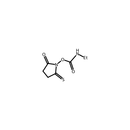 CCNC(=O)ON1C(=O)CCC1=S